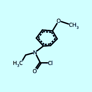 CCN(C(=O)Cl)c1ccc(OC)cc1